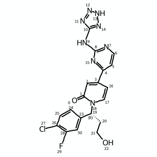 O=c1cc(-c2ccnc(Nc3nn[nH]n3)n2)ccn1[C@H](CCO)c1ccc(Cl)c(F)c1